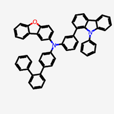 c1ccc(-c2ccccc2-c2ccc(N(c3cccc(-c4cccc5c6ccccc6n(-c6ccccc6)c45)c3)c3ccc4oc5ccccc5c4c3)cc2)cc1